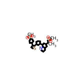 CC(CS(C)(=O)=O)c1cc(-c2cccc(-c3sccc3-c3ccc(S(C)(=O)=O)cc3)c2)c2ncccc2c1